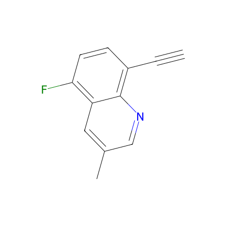 C#Cc1ccc(F)c2cc(C)cnc12